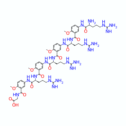 COc1ccc(NC(=O)[C@H](CCCNC(=N)N)NC(=O)c2cc(NC(=O)[C@H](CCCNC(=N)N)NC(=O)c3cc(NC(=O)[C@H](CCCNC(=N)N)NC(=O)c4cc(NC(=O)[C@@H](N)CCCNC(=N)N)ccc4OC)ccc3OC)ccc2OC)cc1C(=O)NCC(=O)O